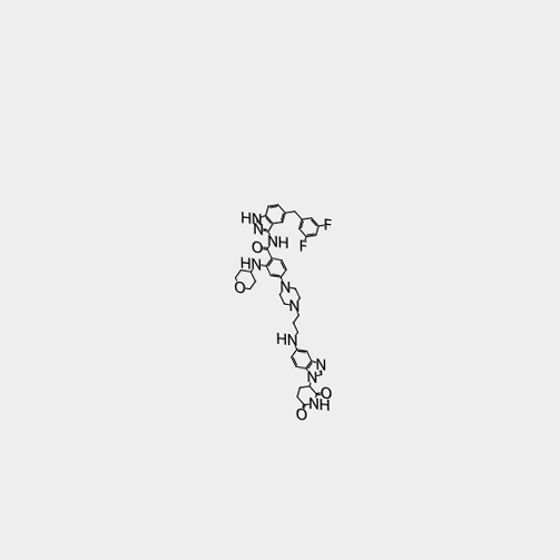 O=C1CCC(n2cnc3cc(NCCCN4CCN(c5ccc(C(=O)Nc6n[nH]c7ccc(Cc8cc(F)cc(F)c8)cc67)c(NC6CCOCC6)c5)CC4)ccc32)C(=O)N1